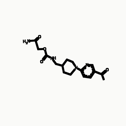 CC(=O)c1ccc(N2CCC(CNC(=O)OCC(N)=O)CC2)nc1